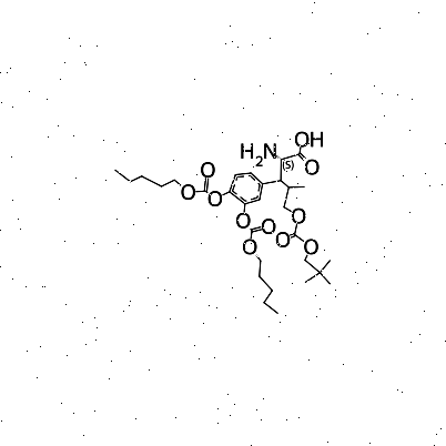 CCCCCOC(=O)Oc1ccc(C(C(C)COC(=O)OCC(C)(C)C)[C@H](N)C(=O)O)cc1OC(=O)OCCCCC